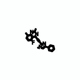 Cc1nc(C#Cc2nc(-c3ccccc3)cn2C)c2c(F)ccc(C)c2n1